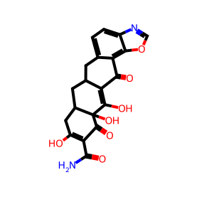 NC(=O)C1=C(O)CC2CC3Cc4ccc5ncoc5c4C(=O)C3=C(O)C2(O)C1=O